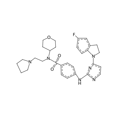 O=S(=O)(c1ccc(Nc2nccc(N3CCc4cc(F)ccc43)n2)cc1)N(CCN1CCCC1)C1CCOCC1